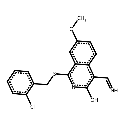 COc1ccc2c(C=N)c(O)nc(SCc3ccccc3Cl)c2c1